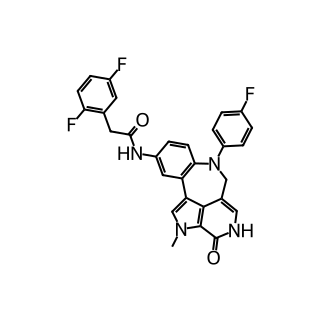 Cn1cc2c3c(c[nH]c(=O)c31)CN(c1ccc(F)cc1)c1ccc(NC(=O)Cc3cc(F)ccc3F)cc1-2